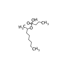 CCCCCCC(C)OP(=O)(O)CCC